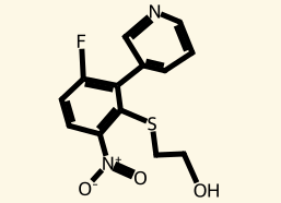 O=[N+]([O-])c1ccc(F)c(-c2cccnc2)c1SCCO